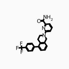 NC(=O)c1cccc(N2CCc3c(cccc3-c3ccc(C(F)(F)F)cc3)C2)n1